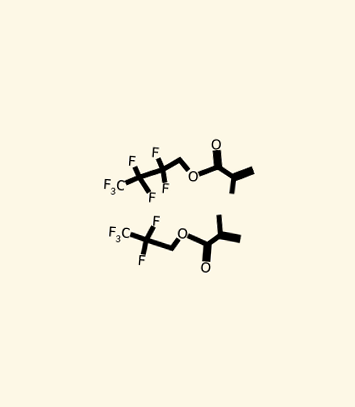 C=C(C)C(=O)OCC(F)(F)C(F)(F)C(F)(F)F.C=C(C)C(=O)OCC(F)(F)C(F)(F)F